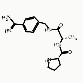 C[C@H](NC(=O)[C@H]1CCCN1)C(=O)NCc1ccc(C(=N)N)cc1